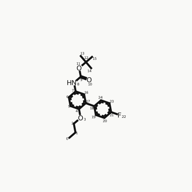 CCCOc1ccc(NC(=O)OC(C)(C)C)cc1-c1ccc(F)cc1